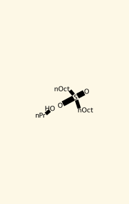 CCCCCCCCS(=O)(=O)CCCCCCCC.CCCO